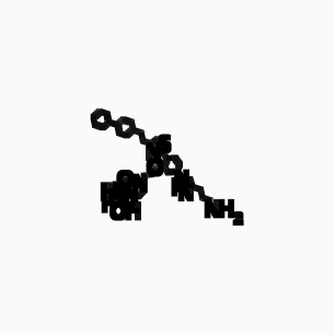 NCCCc1cn(-c2ccc(-c3nc(CCc4ccc(-c5ccccc5)cc4)cs3)c(OCCN3CCNC3=O)c2)nn1.O=C(O)C(F)(F)F